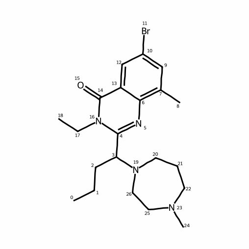 CCCC(c1nc2c(C)cc(Br)cc2c(=O)n1CC)N1CCCN(C)CC1